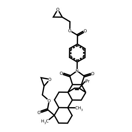 CC(C)C1=CC23CCC4C(C)(C(=O)OCC5CO5)CCCC4(C)C2CC1C1C(=O)N(c2ccc(C(=O)OCC4CO4)cc2)C(=O)C13